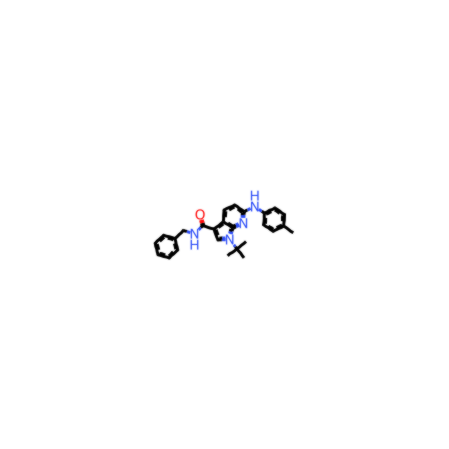 Cc1ccc(Nc2ccc3c(C(=O)NCc4ccccc4)cn(C(C)(C)C)c3n2)cc1